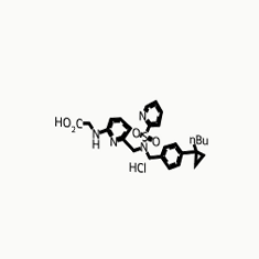 CCCCC1(c2ccc(CN(Cc3cccc(NCC(=O)O)n3)S(=O)(=O)c3ccccn3)cc2)CC1.Cl